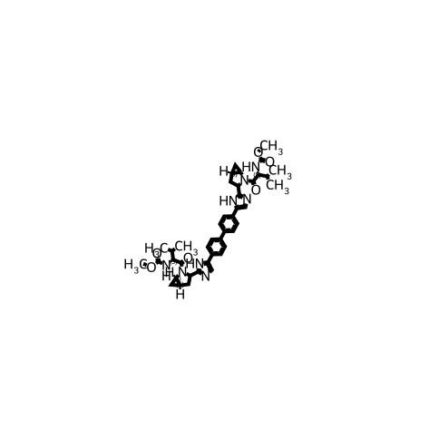 COC(=O)N[C@H](C(=O)N1C(c2ncc(-c3ccc(-c4ccc(-c5cnc(C6C[C@@H]7C[C@@H]7N6C(=O)[C@@H](NC(=O)OC)C(C)C)[nH]5)cc4)cc3)[nH]2)C[C@@H]2CC21)C(C)C